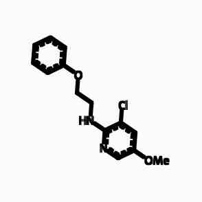 COc1cnc(NCCOc2ccccc2)c(Cl)c1